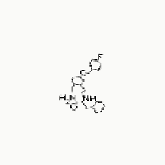 NC(=O)[C@H](Cc1ccccc1)NCCc1cc(OCc2ccc(F)cc2)ccc1I